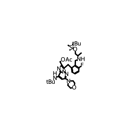 CC(=O)OCc1nc2c(NC(C)(C)C)cc(N3CCOCC3)nn2c1Cc1cccc(F)c1CNC(C)CO[Si](C)(C)C(C)(C)C